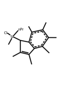 CCC[Si](C)(Cl)C1C(C)=C(C)c2c(C)c(C)c(C)c(C)c21